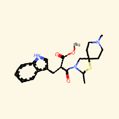 CC1SC2(CCN(C)CC2)CN1C(=O)C(Cc1c[nH]c2ccccc12)C(=O)OC(C)(C)C